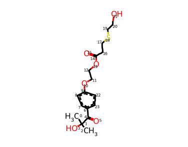 CC(C)(O)C(=O)c1ccc(OCCOC(=O)CCSCCO)cc1